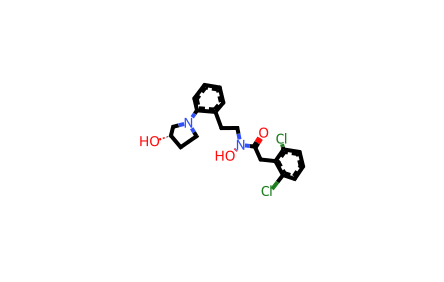 O=C(Cc1c(Cl)cccc1Cl)N(O)CCc1ccccc1N1CC[C@H](O)C1